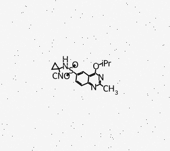 Cc1nc(OC(C)C)c2cc(S(=O)(=O)NC3(C#N)CC3)ccc2n1